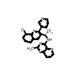 Cc1nc(N[C@H](c2cc3cccc(Cl)c3nc2-c2cccnc2)C(F)(F)F)c2ncccc2n1